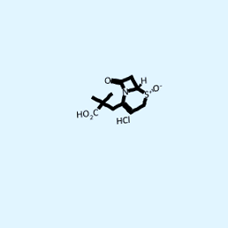 CC(C)(CC1=CC[S+]([O-])[C@H]2CC(=O)N12)C(=O)O.Cl